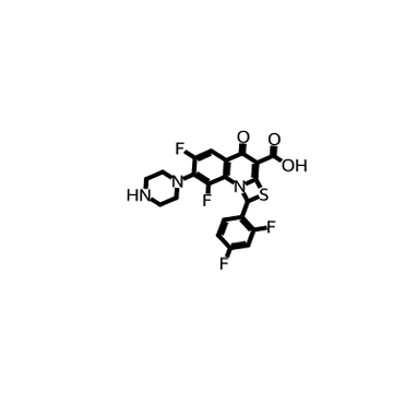 O=C(O)c1c2n(c3c(F)c(N4CCNCC4)c(F)cc3c1=O)C(c1ccc(F)cc1F)S2